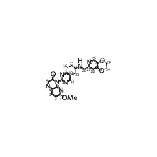 COc1ccc2ncc(=O)n(-c3ncc4c(n3)CCC(NCc3cc5c(cn3)OCCO5)C4)c2n1